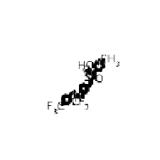 CN1CCC(N2C(=O)S/C(=C\c3ccc4c(cnn4Cc4ccc(C(F)(F)F)cc4C(F)(F)F)c3)C2=O)[C@@H](O)C1